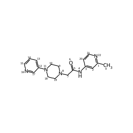 Cc1cc(NC(=O)CN2CCN(c3cccnc3)CC2)ccn1